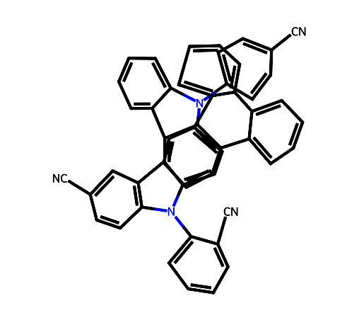 N#Cc1ccc(-n2c3ccccc3c3cccc(-c4ccccc4-c4ccccc4-c4ccc5c(c4)c4cc(C#N)ccc4n5-c4ccccc4C#N)c32)cc1